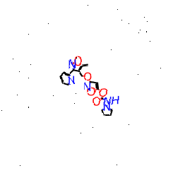 Cc1onc(-c2ccccn2)c1COc1cc(OC(=O)NN2CCCC2)on1